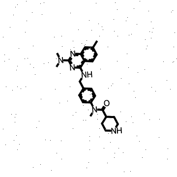 Cc1ccc2c(NCc3ccc(N(C)C(=O)C4CCNCC4)cc3)nc(N(C)C)nc2c1